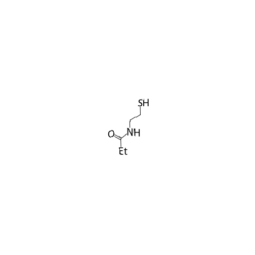 [CH2]CC(=O)NCCS